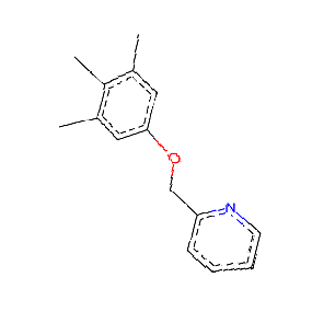 Cc1cc(OCc2ccccn2)cc(C)c1C